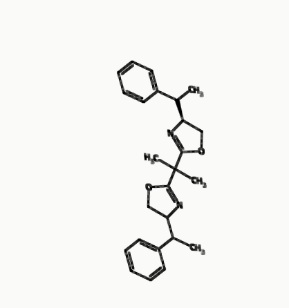 CC(c1ccccc1)C1COC(C(C)(C)C2=N[C@@H](C(C)c3ccccc3)CO2)=N1